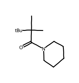 CC(C)(C)C(C)(C)C(=O)N1CCCCC1